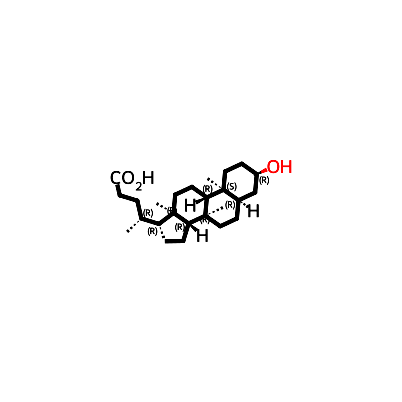 C[C@H](CCC(=O)O)[C@H]1CC[C@H]2[C@]3(C)CC[C@@H]4C[C@H](O)CC[C@]4(C)[C@H]3CC[C@@]21C